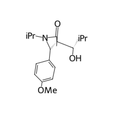 COc1ccc(C2[C@@H]([C@@H](O)C(C)C)C(=O)N2C(C)C)cc1